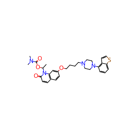 CC(OC(=O)N(C)C)n1c(=O)ccc2ccc(OCCCCN3CCN(c4cccc5sccc45)CC3)cc21